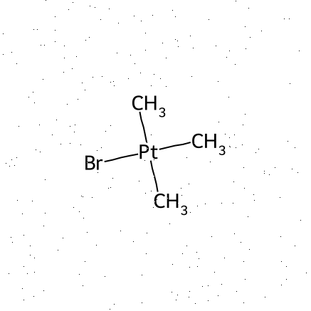 [CH3][Pt]([CH3])([CH3])[Br]